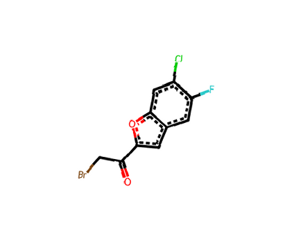 O=C(CBr)c1cc2cc(F)c(Cl)cc2o1